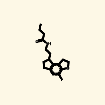 CCCC(=O)NCCC1CCc2cc(F)c3c(c21)CCO3